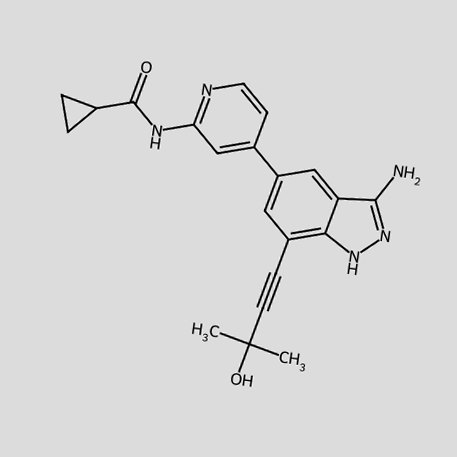 CC(C)(O)C#Cc1cc(-c2ccnc(NC(=O)C3CC3)c2)cc2c(N)n[nH]c12